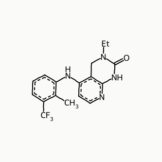 CCN1Cc2c(Nc3cccc(C(F)(F)F)c3C)ccnc2NC1=O